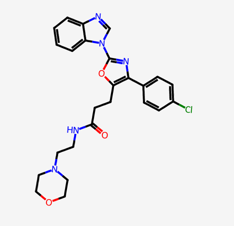 O=C(CCc1oc(-n2cnc3ccccc32)nc1-c1ccc(Cl)cc1)NCCN1CCOCC1